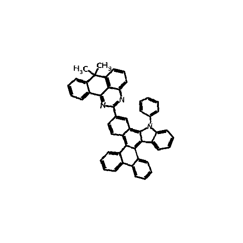 CC1(C)c2ccccc2-c2nc(-c3ccc4c(c3)c3c(c5ccccc5n3-c3ccccc3)c3c5ccccc5c5ccccc5c43)nc3cccc1c23